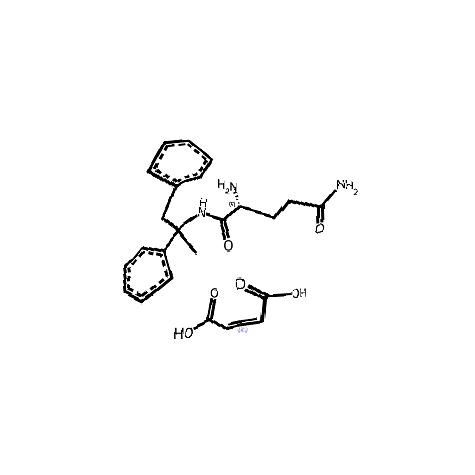 CC(Cc1ccccc1)(NC(=O)[C@H](N)CCC(N)=O)c1ccccc1.O=C(O)/C=C\C(=O)O